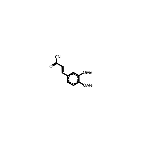 COc1ccc(C=CC(=O)C#N)cc1OC